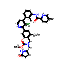 [CH2]c1ccc(C(=O)Nc2cccc(-c3ccnc(-c4ccc(CN(C[C@@H]5CCC(=O)N5)C(=O)OC(C)(C)C)c(OC)c4)c3Cl)c2C)nc1